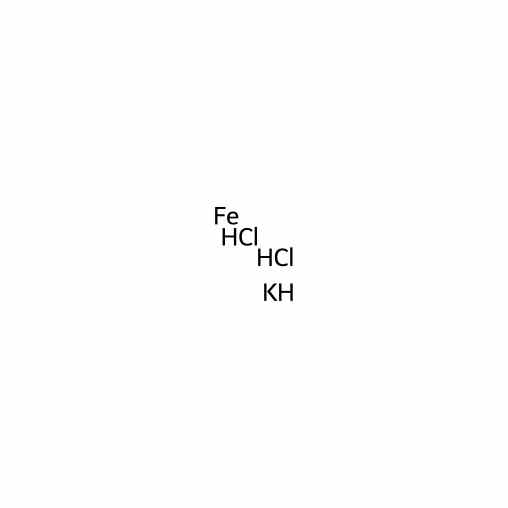 Cl.Cl.[Fe].[KH]